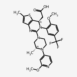 COc1cc(N2CCN(C3=Nc4cc(C)sc4[C@@H](CC(=O)O)N3c3cc(C(F)(F)F)ccc3OC)C[C@H]2C)ccn1